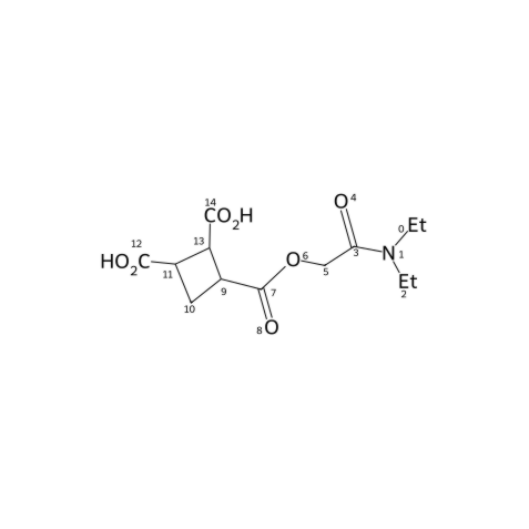 CCN(CC)C(=O)COC(=O)C1CC(C(=O)O)C1C(=O)O